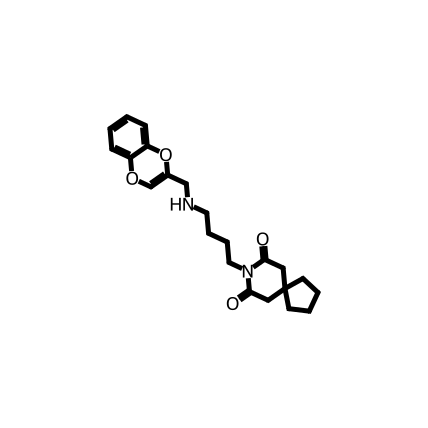 O=C1CC2(CCCC2)CC(=O)N1CCCCNCC1=COc2ccccc2O1